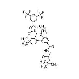 COc1ccc(C(=O)NCC(=O)OC(C)(C)C)cc1C1=C(CN2C(=O)O[C@H](c3cc(C(F)(F)F)cc(C(F)(F)F)c3)[C@@H]2C)CC(C)(C)CC1